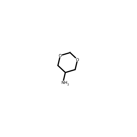 NC1CO[CH]OC1